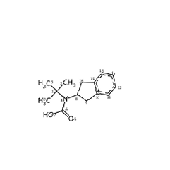 CC(C)(C)N(C(=O)O)C1Cc2ccccc2C1